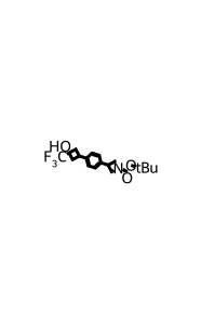 CC(C)(C)OC(=O)N1CC(c2ccc(C3CC(O)(C(F)(F)F)C3)cc2)C1